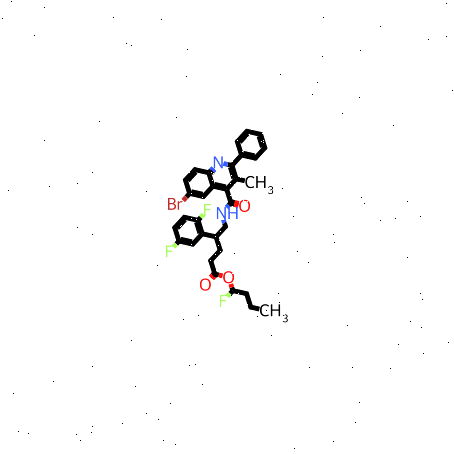 CCCC(F)OC(=O)CCC(CNC(=O)c1c(C)c(-c2ccccc2)nc2ccc(Br)cc12)c1cc(F)ccc1F